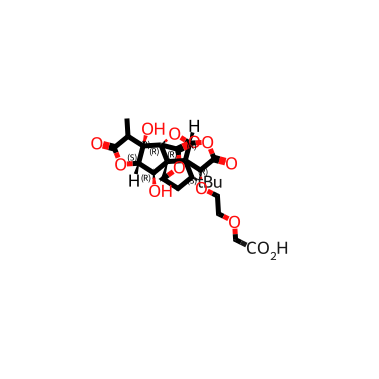 CC1C(=O)O[C@H]2[C@H](O)[C@@]34C5C[C@@H](C(C)(C)C)C36[C@@H](OC(=O)[C@@H]6OCCOCC(=O)O)O[C@@]4(C(=O)O5)[C@@]12O